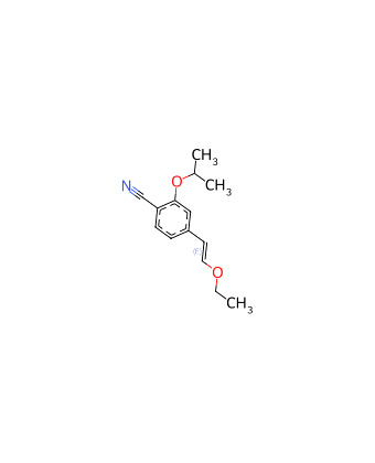 CCO/C=C/c1ccc(C#N)c(OC(C)C)c1